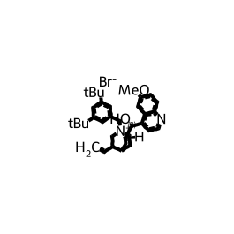 C=CC1C[N+]2(Cc3cc(C(C)(C)C)cc(C(C)(C)C)c3)CCC1C[C@H]2[C@H](O)c1ccnc2ccc(OC)cc12.[Br-]